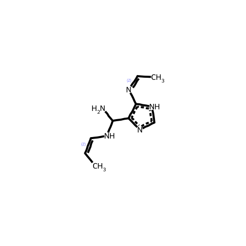 C/C=C\NC(N)c1nc[nH]c1/N=C\C